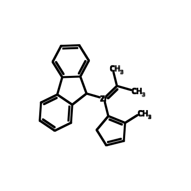 CC1=[C]([Zr](=[C](C)C)[CH]2c3ccccc3-c3ccccc32)CC=C1